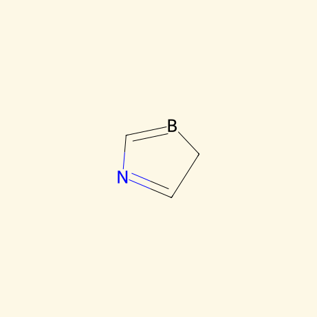 B1=CN=CC1